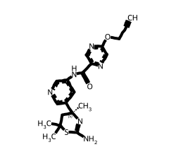 C#CCOc1cnc(C(=O)Nc2cncc([C@]3(C)CC(C)(C)SC(N)=N3)c2)cn1